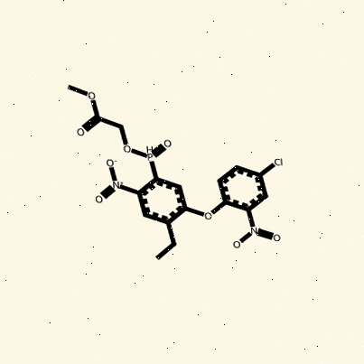 CCc1cc([N+](=O)[O-])c([PH](=O)OCC(=O)OC)cc1Oc1ccc(Cl)cc1[N+](=O)[O-]